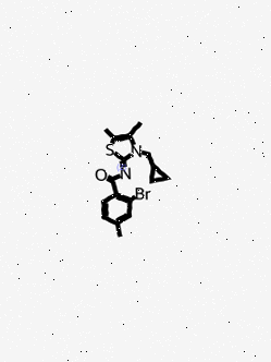 Cc1ccc(C(=O)/N=c2\sc(C)c(C)n2CC2CC2)c(Br)c1